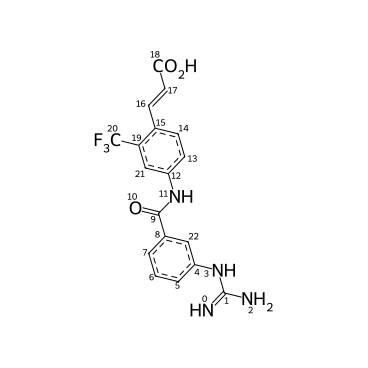 N=C(N)Nc1cccc(C(=O)Nc2ccc(/C=C/C(=O)O)c(C(F)(F)F)c2)c1